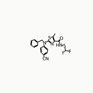 Cc1sc(N(Cc2ccccc2)c2ccc(C#N)cc2)nc1C(=O)NSC(F)F